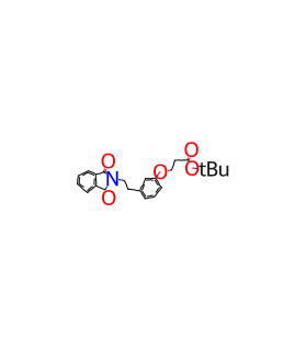 CC(C)(C)OC(=O)CCOc1cccc(CCN2C(=O)c3ccccc3C2=O)c1